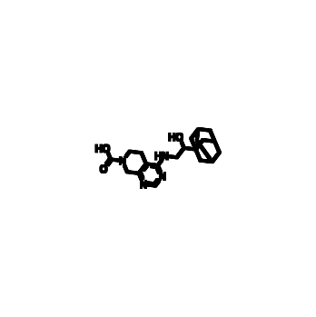 O=C(O)N1CCc2c(ncnc2NCC(O)C23CC4CC(CC(C4)C2)C3)C1